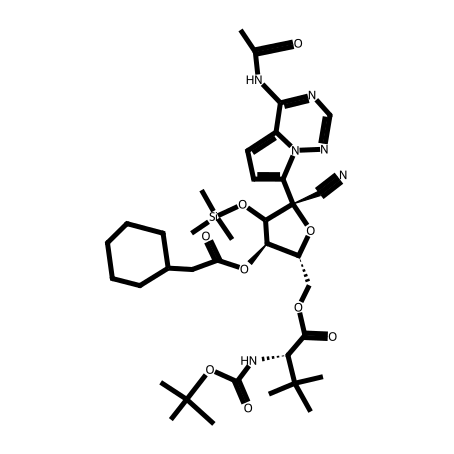 CC(=O)Nc1ncnn2c([C@]3(C#N)O[C@H](COC(=O)[C@@H](NC(=O)OC(C)(C)C)C(C)(C)C)[C@@H](OC(=O)CC4CCCCC4)C3O[Si](C)(C)C)ccc12